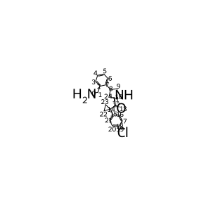 NCc1ccccc1C1CNC(C(=O)C2(c3ccc(Cl)cc3)CC2)C1